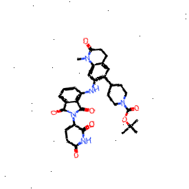 CN1C(=O)CCc2cc(C3CCN(C(=O)OC(C)(C)C)CC3)c(Nc3cccc4c3C(=O)N(C3CCC(=O)NC3=O)C4=O)cc21